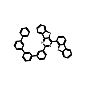 c1ccc(-c2cccc(-c3cccc(-c4cccc(-c5nc(-c6cccc7c6sc6ccccc67)c6sc7ccccc7c6n5)c4)c3)c2)cc1